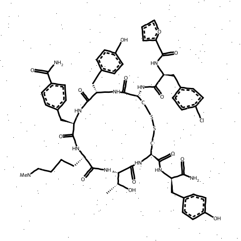 CNCCCC[C@@H]1NC(=O)[C@@H](Cc2ccc(C(N)=O)cc2)NC(=O)[C@H](Cc2ccc(O)cc2)NC(=O)[C@H](NC(=O)[C@H](Cc2ccc(Cl)cc2)NC(=O)c2ccco2)CSSC[C@@H](C(=O)N[C@H](Cc2ccc(O)cc2)C(N)=O)NC(=O)[C@H]([C@@H](C)O)NC1=O